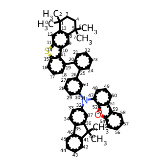 CC1(C)CCC(C)(C)c2cc3c(cc21)sc1cccc(-c2ccccc2-c2cccc(N(c4ccc5c(c4)C(C)(C)c4ccccc4-5)c4cccc5c4oc4ccccc45)c2)c13